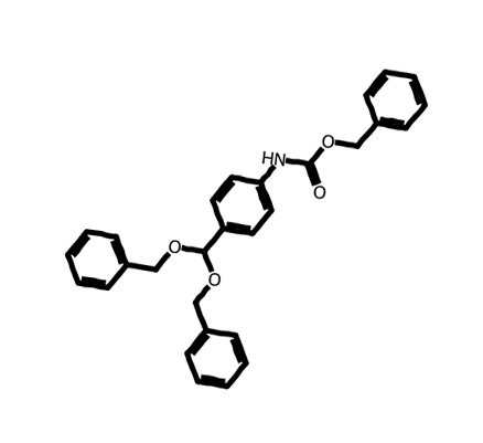 O=C(Nc1ccc(C(OCc2ccccc2)OCc2ccccc2)cc1)OCc1ccccc1